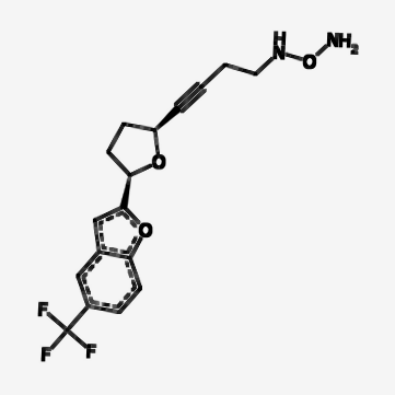 NONCCC#C[C@@H]1CC[C@H](c2cc3cc(C(F)(F)F)ccc3o2)O1